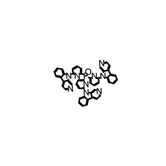 O=P(c1cccc(-n2c3ccccc3c3ccncc32)n1)(c1cccc(-n2c3ccccc3c3ccncc32)n1)c1cccc(-n2c3ccccc3c3ccncc32)n1